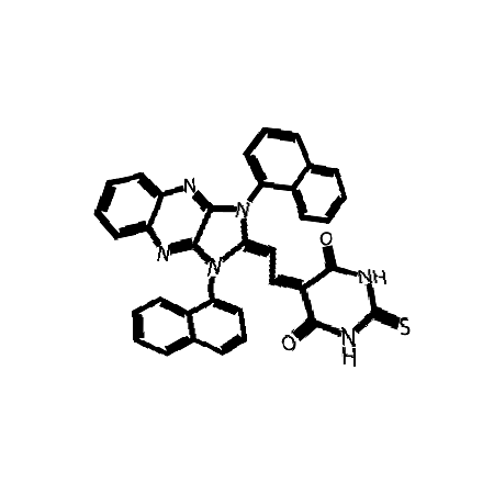 O=C1NC(=S)NC(=O)C1=CC=C1N(c2cccc3ccccc23)c2nc3ccccc3nc2N1c1cccc2ccccc12